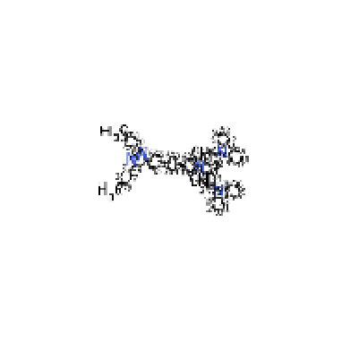 Cc1ccc(-c2cc(-c3ccc(-c4ccc(-c5cc(C)c(-n6c7ccc(-n8c9ccccc9c9ccccc98)cc7c7cc(-n8c9ccccc9c9ccccc98)ccc76)c(C)c5)cc4)cc3)nc(-c3ccc(C)cc3)n2)cc1